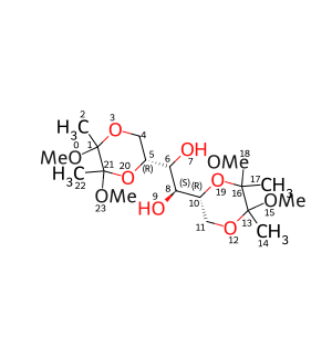 COC1(C)OC[C@H](C(O)[C@H](O)[C@H]2COC(C)(OC)C(C)(OC)O2)OC1(C)OC